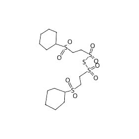 O=S(=O)(CCS(=O)(=O)C1CCCCC1)SS(=O)(=O)CCS(=O)(=O)C1CCCCC1